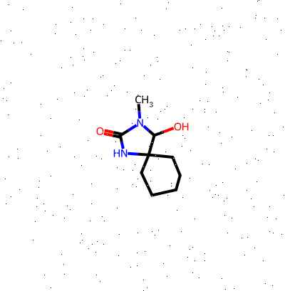 CN1C(=O)NC2(CCCCC2)C1O